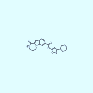 O=C(Nc1cc(C2CCCCC2)no1)c1ccc2cc3n(c2c1)CCCNC3=O